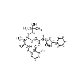 CN(C(=O)NCc1cccc(F)c1Cl)[C@@H](CCC(C)(C)O)COC(=O)Nc1cc(-c2ccccc2)no1